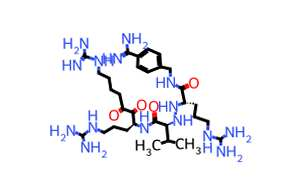 CC(C)[C@H](NN[C@@H](CCCNC(N)N)C(=O)NCc1ccc(C(=N)N)cc1)C(=O)N[C@@H](CCCNC(N)N)C(=O)C(=O)CCCCNC(=N)N